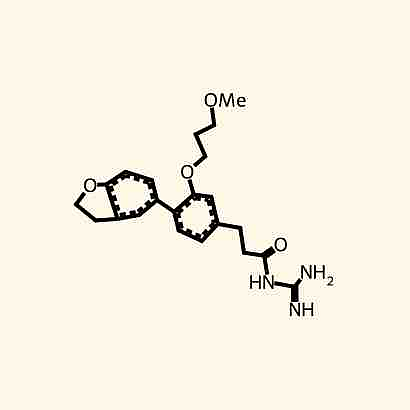 COCCCOc1cc(CCC(=O)NC(=N)N)ccc1-c1ccc2c(c1)CCO2